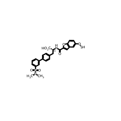 CN(C)S(=O)(=O)c1cccc(-c2ccc(C[C@H](NC(=O)c3cc4cc(OS)ccc4o3)C(=O)O)cc2)c1